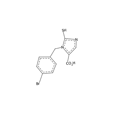 O=C(O)c1cnc(S)n1Cc1ccc(Br)cc1